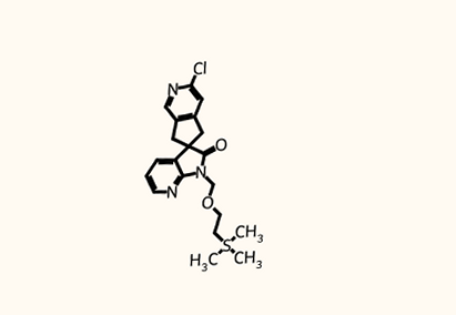 CS(C)(C)CCOCN1C(=O)C2(Cc3cnc(Cl)cc3C2)c2cccnc21